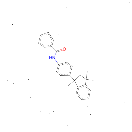 CC1(C)CC(C)(c2ccc(NC(=O)c3ccccc3)cc2)c2ccccc21